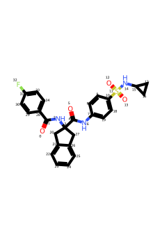 O=C(NC1(C(=O)Nc2ccc(S(=O)(=O)NC3CC3)cc2)Cc2ccccc2C1)c1ccc(F)cc1